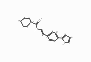 O=C(OC=Cc1ccc(-c2cccs2)cc1)N1CCCCC1